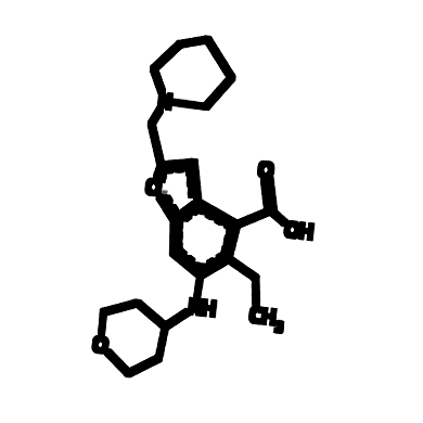 CCc1c(NC2CCOCC2)cc2oc(CN3CCCCC3)cc2c1C(=O)O